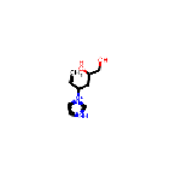 C=CC(CC(O)CO)[n+]1cc[nH]c1